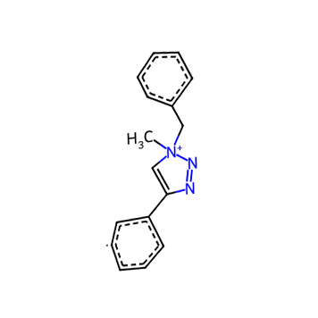 C[N+]1(Cc2ccccc2)C=C(c2c[c]ccc2)N=N1